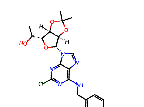 CC(O)[C@H]1O[C@@H](n2cnc3c(NCc4ccccc4)nc(Cl)nc32)[C@@H]2OC(C)(C)O[C@@H]21